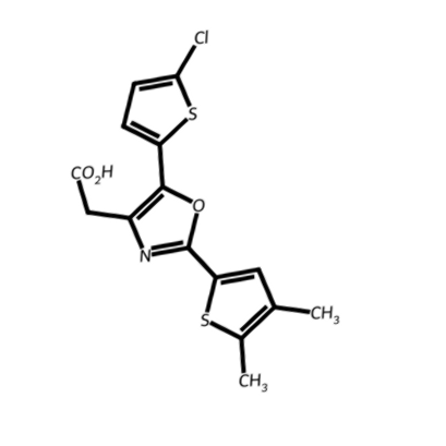 Cc1cc(-c2nc(CC(=O)O)c(-c3ccc(Cl)s3)o2)sc1C